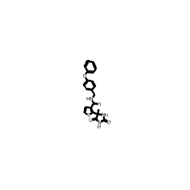 CC1(c2sccc2C(=O)NCc2ccc(Oc3ccccc3)cc2)NC(=O)NC1=O